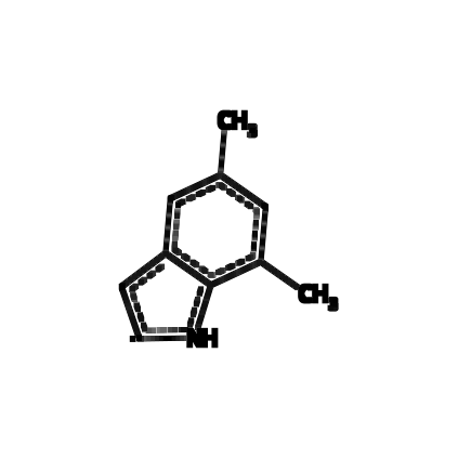 Cc1cc(C)c2[nH][c]cc2c1